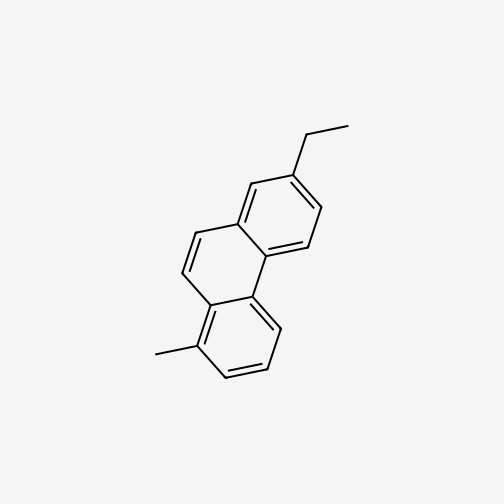 CCc1ccc2c(ccc3c(C)cccc32)c1